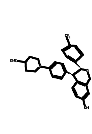 O=CC1CCN(c2ccc([C@H]3c4ccc(O)cc4CO[C@H]3c3ccc(C(F)(F)F)cc3)cc2)CC1